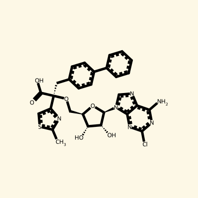 Cc1nc([C@](Cc2ccc(-c3ccccc3)cc2)(OC[C@H]2O[C@@H](n3cnc4c(N)nc(Cl)nc43)[C@H](O)[C@@H]2O)C(=O)O)cs1